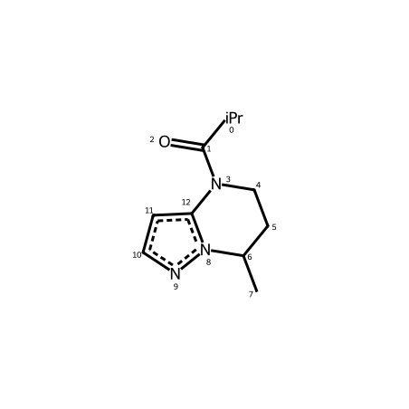 CC(C)C(=O)N1CCC(C)n2nccc21